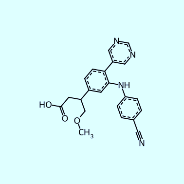 COCC(CC(=O)O)c1ccc(-c2cncnc2)c(Nc2ccc(C#N)cc2)c1